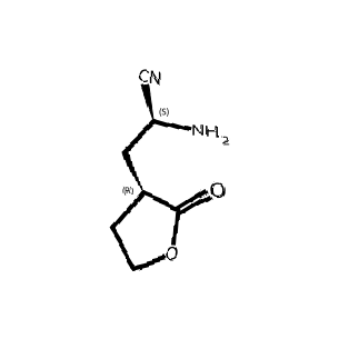 N#C[C@@H](N)C[C@@H]1CCOC1=O